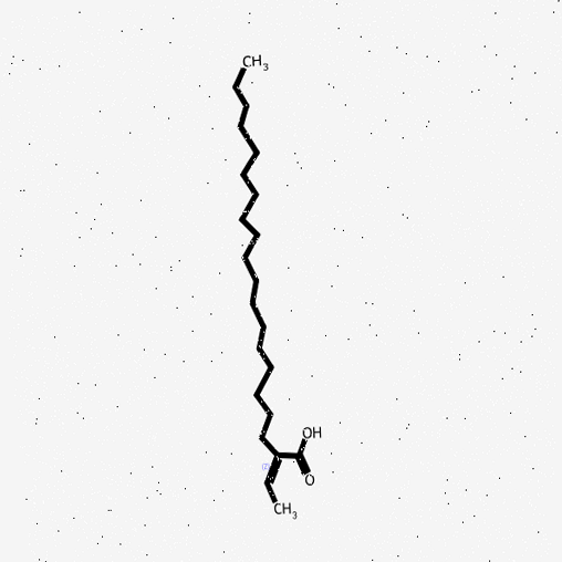 C/C=C(/CCCCCCCCCCCCCCCCCC)C(=O)O